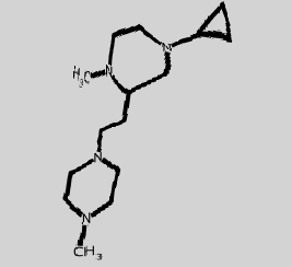 CN1CCN(CCC2CN(C3CC3)CCN2C)CC1